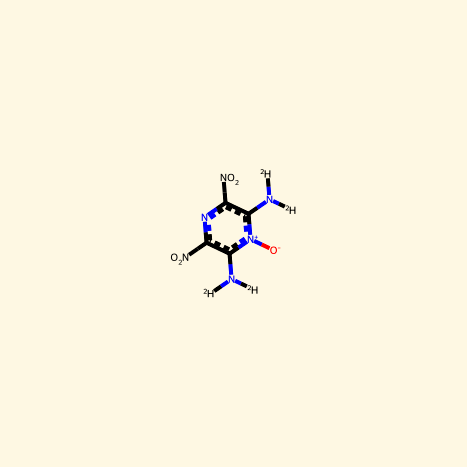 [2H]N([2H])c1c([N+](=O)[O-])nc([N+](=O)[O-])c(N([2H])[2H])[n+]1[O-]